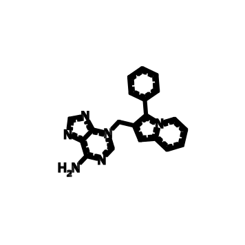 Nc1ncn(Cc2cc3ccccn3c2-c2ccccc2)c2ncnc1-2